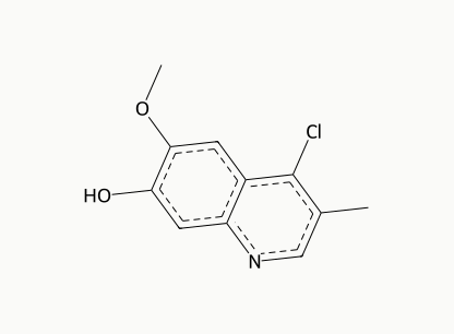 COc1cc2c(Cl)c(C)cnc2cc1O